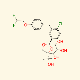 CC(C)(O)[C@]12CO[C@@](c3ccc(Cl)c(Cc4ccc(OCC(F)F)cc4)c3)(O1)[C@H](O)[C@@H](O)[C@@H]2O